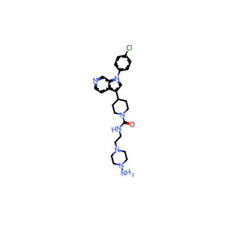 NN1CCN(CCNC(=O)N2CCC(c3cn(-c4ccc(Cl)cc4)c4cnccc34)CC2)CC1